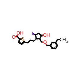 CCc1cccc(COCC2[C@@H](CCCc3ccc(C(=O)O)s3)C(I)C[C@H]2O)c1